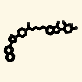 O=C1CCC(N2Cc3ccc(CCCCC(=O)N4CCC(n5cc(-c6ccc7ccccc7n6)cn5)CC4)cc3C2=O)C(=O)N1